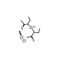 C=C.CC[CH]([Zr+2][CH](CC)C(C)=S)C(C)=S.[Cl-].[Cl-]